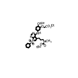 CCOC(=O)COc1cc(Nc2ncnc3c2c(CCCN(C)C(=O)OC(C)(C)C)cn3S(=O)(=O)c2ccccc2)ccc1OC